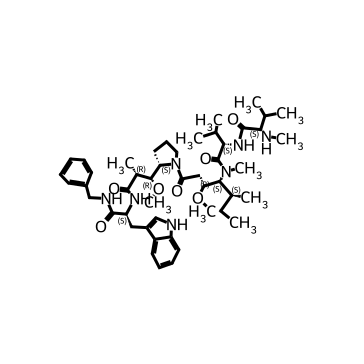 CC[C@H](C)[C@@H]([C@@H](CC(=O)N1CCC[C@H]1[C@H](OC)[C@@H](C)C(=O)N[C@@H](Cc1c[nH]c2ccccc12)C(=O)NCc1ccccc1)OC)N(C)C(=O)[C@@H](NC(=O)[C@@H](NC)C(C)C)C(C)C